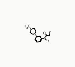 CCN(C(=O)CF)c1cccc(N2CCN(C)CC2)c1